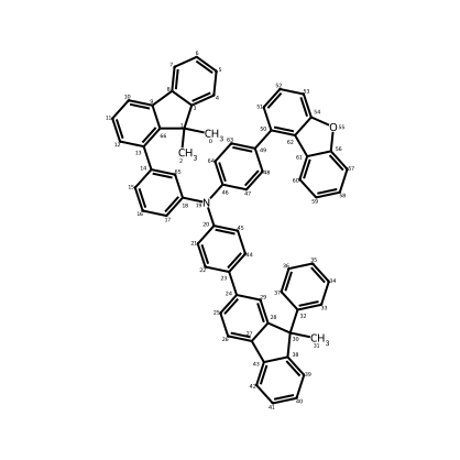 CC1(C)c2ccccc2-c2cccc(-c3cccc(N(c4ccc(-c5ccc6c(c5)C(C)(c5ccccc5)c5ccccc5-6)cc4)c4ccc(-c5cccc6oc7ccccc7c56)cc4)c3)c21